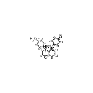 O=C(NC1(c2ccc(C(F)(F)F)cc2)CCOc2cccnc21)c1ccc(F)cc1